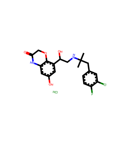 CC(C)(Cc1ccc(F)c(Cl)c1)NCC(O)c1cc(O)cc2c1OCC(=O)N2.Cl